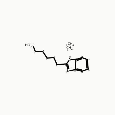 C.C.O=C(O)CCCCCc1nc2ccccc2s1